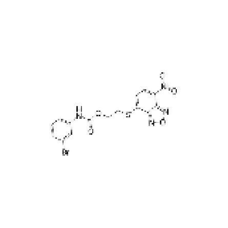 O=C(Nc1cccc(Br)c1)OCCSc1ccc([N+](=O)[O-])c2nonc12